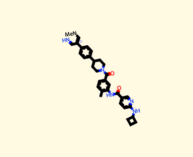 CN/C=C(\C=N)c1ccc(C2CCN(C(=O)c3ccc(C)c(NC(=O)c4ccc(NC5CCC5)nc4)c3)CC2)cc1